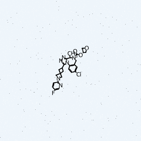 CC1c2nnc(C3CC4(C3)CN(c3ccc(F)cn3)C4)n2-c2ccc(Cl)cc2CN1C(=O)OC1COC1